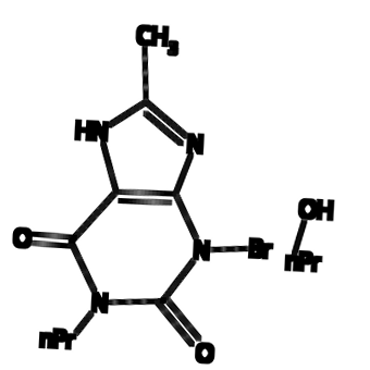 CCCO.CCCn1c(=O)c2[nH]c(C)nc2n(Br)c1=O